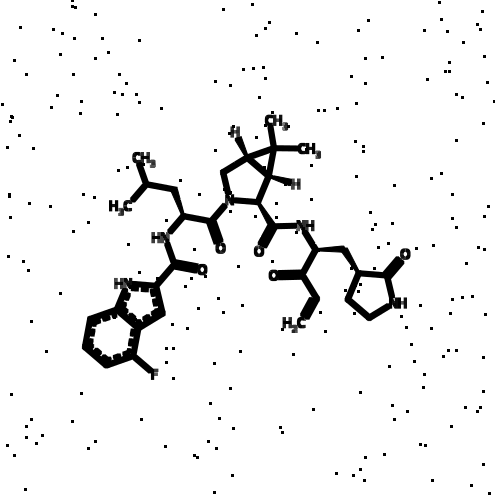 C=CC(=O)[C@H](C[C@@H]1CCNC1=O)NC(=O)[C@@H]1[C@@H]2[C@H](CN1C(=O)[C@H](CC(C)C)NC(=O)c1cc3c(F)cccc3[nH]1)C2(C)C